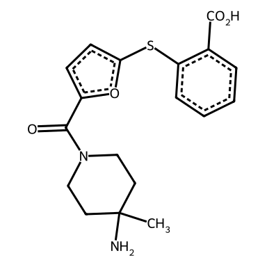 CC1(N)CCN(C(=O)c2ccc(Sc3ccccc3C(=O)O)o2)CC1